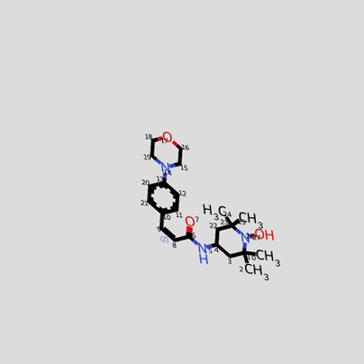 CC1(C)CC(NC(=O)/C=C\c2ccc(N3CCOCC3)cc2)CC(C)(C)N1O